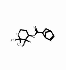 O=C(OC1CCOC(O)(C(F)(F)F)C1(F)F)C1CC2C=CC1C2